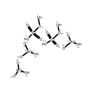 O=S(=O)(O)OO.O=S(=O)(O)OO.[O-][Br+2]([O-])O.[O-][Br+2]([O-])O.[O-][Br+2]([O-])O